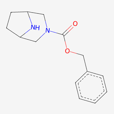 O=C(OCc1ccccc1)N1CC2CCC(C1)N2